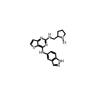 CCN1CCCC1CNc1nc(Nc2ccc3[nH]ncc3c2)c2sccc2n1